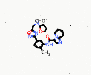 Cc1ccc(-c2noc(CN(C=O)[C@H]3CCCO3)n2)cc1NC(=O)c1cnc2ccccn12